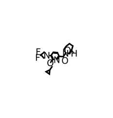 O=C(c1ccc(N2CC(F)(F)C2)c(OCC2CC2)n1)N1CC2CC[C@H](C1)O2